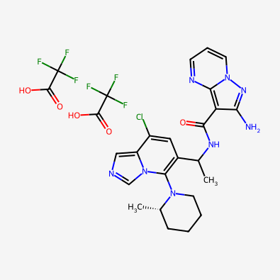 CC(NC(=O)c1c(N)nn2cccnc12)c1cc(Cl)c2cncn2c1N1CCCC[C@@H]1C.O=C(O)C(F)(F)F.O=C(O)C(F)(F)F